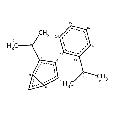 C[C](C)c1ccc2cc1-2.C[C](C)c1ccccc1